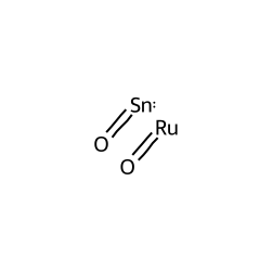 [O]=[Ru].[O]=[Sn]